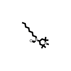 CCCCCCCCN(C=O)C1CC(C)(C)N(C)C(C)(C)C1